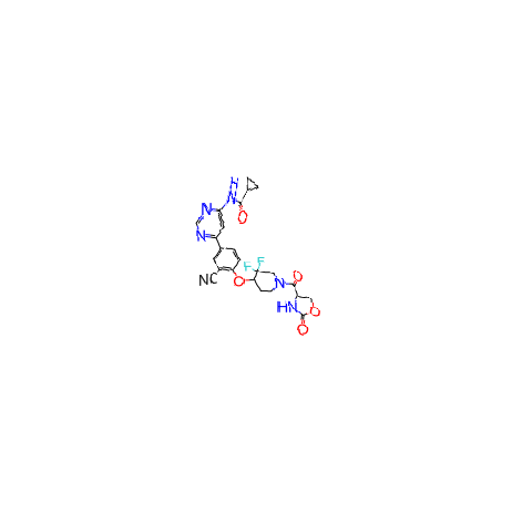 N#Cc1cc(-c2cc(NC(=O)C3CC3)ncn2)ccc1OC1CCN(C(=O)C2COC(=O)N2)CC1(F)F